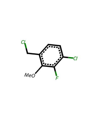 COc1c(CCl)ccc(Cl)c1F